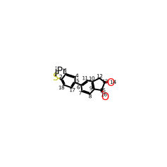 CC(C)Sc1ccc(-c2ccc3c(c2)CC(=O)C3=O)cc1